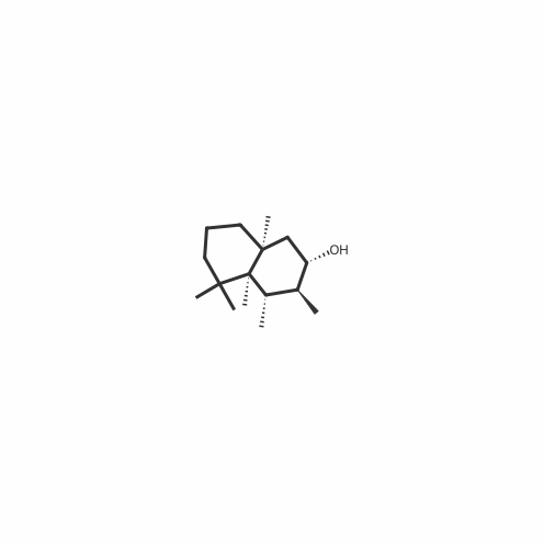 C[C@@H]1[C@@H](O)C[C@]2(C)CCCC(C)(C)[C@]2(C)[C@H]1C